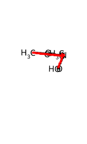 CCCCCCCCCCCCCCCCOC(=O)CCCCCCCCCCCCCCCN1C(CCCCCCCCCCCCCCC(=O)O)=NCC1C